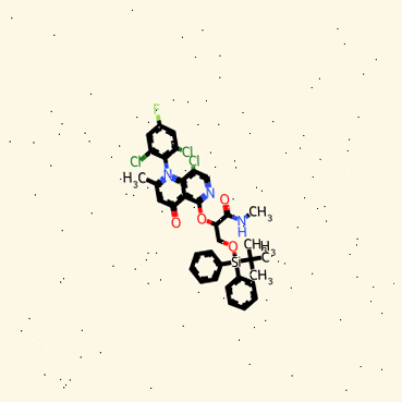 CNC(=O)C(CO[Si](c1ccccc1)(c1ccccc1)C(C)(C)C)Oc1ncc(Cl)c2c1c(=O)cc(C)n2-c1c(Cl)cc(F)cc1Cl